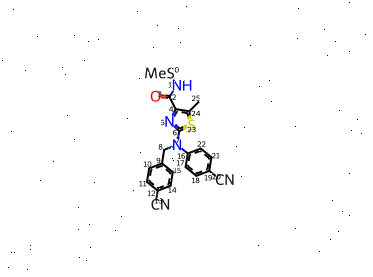 CSNC(=O)c1nc(N(Cc2ccc(C#N)cc2)c2ccc(C#N)cc2)sc1C